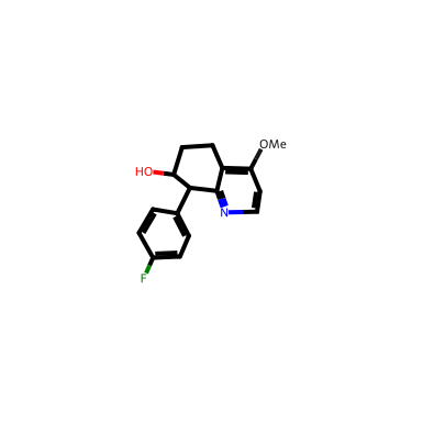 COc1ccnc2c1CCC(O)C2c1ccc(F)cc1